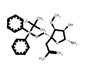 B[C@@H]1O[C@@](CO[Si](c2ccccc2)(c2ccccc2)C(C)(C)C)(CC(=C)C)[C@@H](OC)[C@H]1O